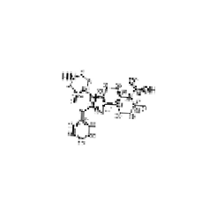 C[C@H]1CNCC[C@@H]1n1c(Cc2ccccc2)nc2c3c(ccc21)N(C(=O)O)[C@@H](C)CC3